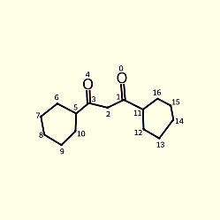 O=C(CC(=O)C1CCCCC1)C1CCCCC1